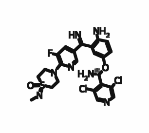 CN=S1(=O)CCN(c2ncc(C(=N)c3cc(O[C@H](N)c4c(Cl)cncc4Cl)ccc3N)cc2F)CC1